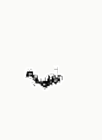 CC1(COC(=O)NCc2ccc3c(c2)C(=O)N(C2CCC(=O)NC2=O)C3)CCCCC1